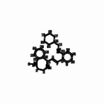 CN1CCN=C(/C=C/c2ccccc2SCC2CCCCC2)c2ccccc21